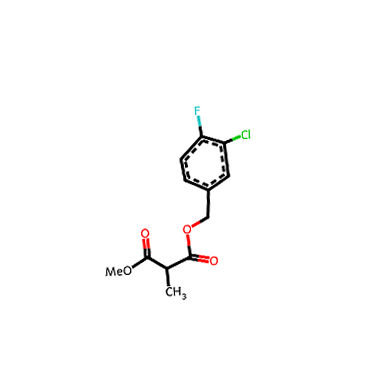 COC(=O)C(C)C(=O)OCc1ccc(F)c(Cl)c1